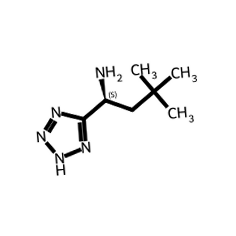 CC(C)(C)C[C@H](N)c1nn[nH]n1